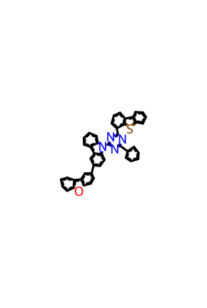 c1ccc(-c2nc(-c3cccc4c3sc3ccccc34)nc(-n3c4ccccc4c4cc(-c5ccc6oc7ccccc7c6c5)ccc43)n2)cc1